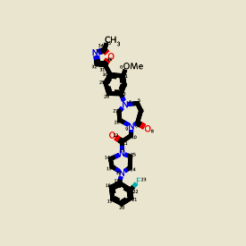 COc1cc(N2CCC(=O)N(CC(=O)N3CCN(c4ccccc4F)CC3)CC2)ccc1-c1cnc(C)o1